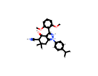 COc1cccc(OC)c1-c1nn(-c2ccc(C(C)C)cc2)c2c1C(=O)C(C#N)C(C)(C)C2